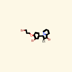 CCc1c(Br)c2ccccn2c1-c1ccc(OCCCBr)c(Br)c1